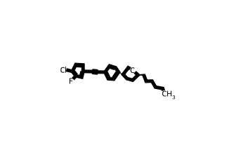 CCCCCC[C@H]1CC[C@H](c2ccc(C#Cc3ccc(Cl)c(F)c3)cc2)CC1